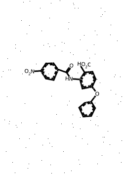 O=C(Nc1cc(Oc2ccccc2)ccc1C(=O)O)c1ccc([N+](=O)[O-])cc1